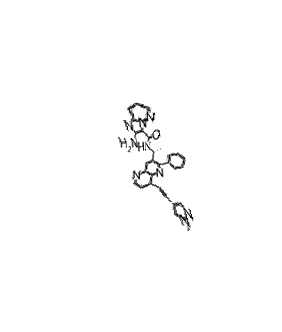 C[C@@H](NC(=O)c1c(N)nc2cccnn12)c1cc2nccc(C#Cc3cnn(C)c3)c2nc1-c1ccccc1